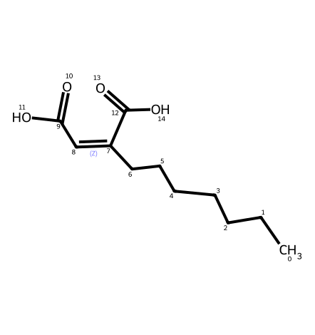 CCCCCCC/C(=C/C(=O)O)C(=O)O